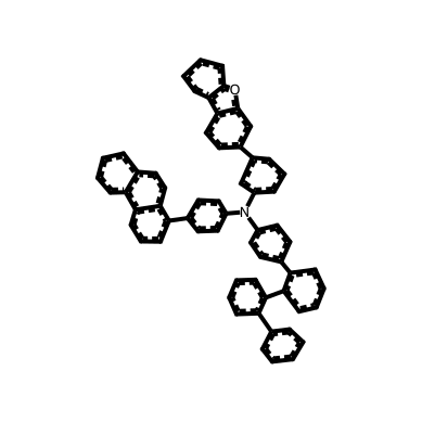 c1ccc(-c2ccccc2-c2ccccc2-c2ccc(N(c3ccc(-c4cccc5c4ccc4ccccc45)cc3)c3cccc(-c4ccc5c(c4)oc4ccccc45)c3)cc2)cc1